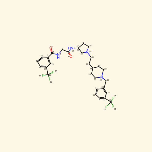 O=C(CNC(=O)c1cccc(C(F)(F)F)c1)N[C@@H]1CCN(CCC2CCN(Cc3cccc(C(F)(F)F)c3)CC2)C1